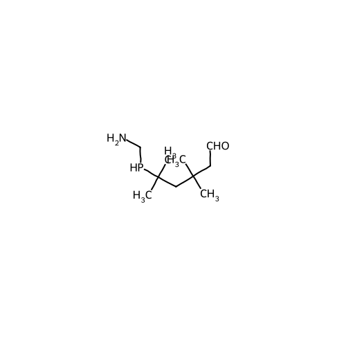 CC(C)(CC=O)CC(C)(C)PCN